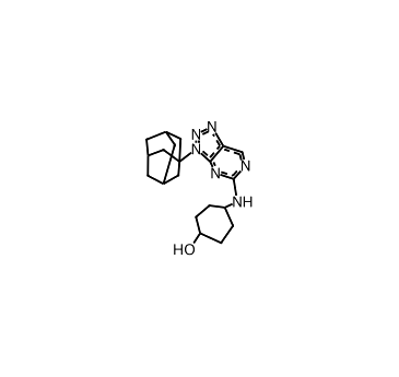 OC1CCC(Nc2ncc3nnn(C45CC6CC(CC(C6)C4)C5)c3n2)CC1